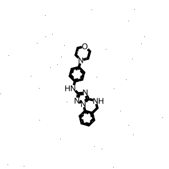 c1ccc2c(c1)CNc1nc(Nc3ccc(N4CCOCC4)cc3)nn1-2